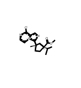 COC(=O)[C@]1(C(C)C)CC[C@](C)(c2ncc3c(Cl)nccn23)C1